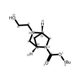 CC(C)(C)OC(=O)N1C[C@@H]2C[C@H]1CN2CCO